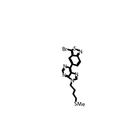 CSCCCCn1cnc2c(-c3ccc4nsc(Br)c4c3)ncnc21